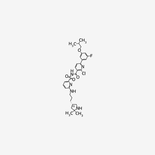 CC(C)COc1cc(F)cc(-c2ccc(C(=O)NS(=O)(=O)c3cccc(NCCC[C@@H]4CNC(C)(C)C4)n3)c(Cl)n2)c1